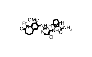 CCN1C(=O)CCCc2cc(Nc3ncc(Cl)c(N[C@H]4[C@@H]5CC[C@@H](C5)[C@H]4C(N)=O)n3)c(OC)cc21